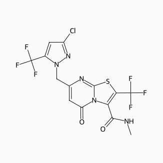 CNC(=O)c1c(C(F)(F)F)sc2nc(Cn3nc(Cl)cc3C(F)(F)F)cc(=O)n12